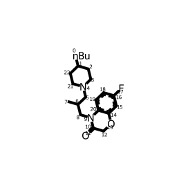 CCCCC1CCN(CC(C)CN2C(=O)COc3cc(F)ccc32)CC1